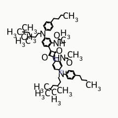 CCCCc1ccc(N(CCC(C)CC(C)(C)C)c2ccc(C3=C([O-])/C(=C4C=C/C(=[N+](\CCC(C)CC(C)(C)C)c5ccc(CCCC)cc5)C=C\4NC(C)=O)C3=O)c(NC(C)=O)c2)cc1